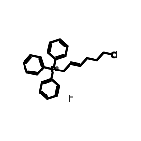 ClCCCC=CC[P+](c1ccccc1)(c1ccccc1)c1ccccc1.[I-]